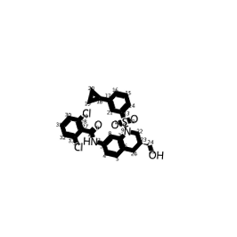 O=C(Nc1ccc2c(c1)N(S(=O)(=O)c1cccc(C3CC3)c1)C[C@H](CO)C2)c1c(Cl)cccc1Cl